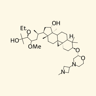 CCO[C@@H](C(C[C@@H](C)[C@H]1C[C@H](O)[C@@]2(C)C3CC[C@H]4C(C)(C)[C@@H](O[C@H]5CN(C6CN(C)C6)CCO5)CC[C@@]45C[C@@]35CC[C@]12C)OC)C(C)(C)O